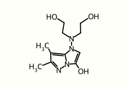 Cc1nn2c(O)cn(N(CCO)CCO)c2c1C